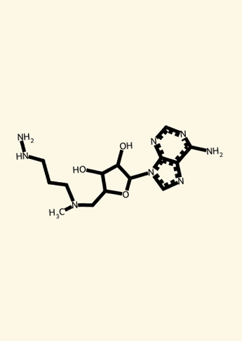 CN(CCCNN)CC1OC(n2cnc3c(N)ncnc32)C(O)C1O